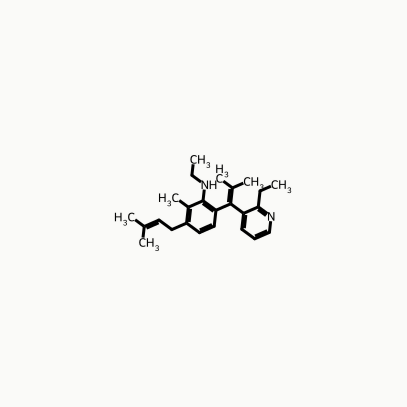 CCNc1c(C(=C(C)C)c2cccnc2CC)ccc(CC=C(C)C)c1C